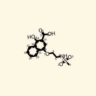 CS(=O)(=O)NCCOc1cc(C(=O)O)c(O)c2ccccc12